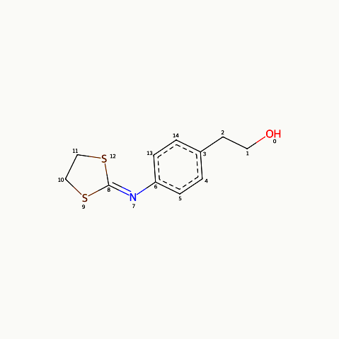 OCCc1ccc(N=C2SCCS2)cc1